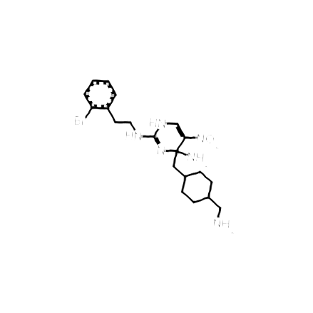 NCC1CCC(CC2(N)N=C(NCCc3ccccc3Br)NC=C2[N+](=O)[O-])CC1